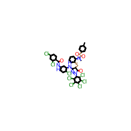 Cc1ccc(S(=O)(=O)N(C)c2ccccc2SC2C(=O)N(c3c(Cl)c(Cl)c(Cl)c(Cl)c3Cl)N=C2Nc2cc(NC(=O)c3ccc(Cl)cc3Cl)ccc2Cl)cc1